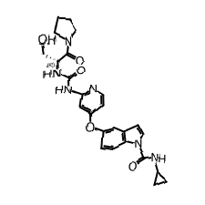 O=C(Nc1cc(Oc2ccc3c(ccn3C(=O)NC3CC3)c2)ccn1)N[C@H](CO)C(=O)N1CCCC1